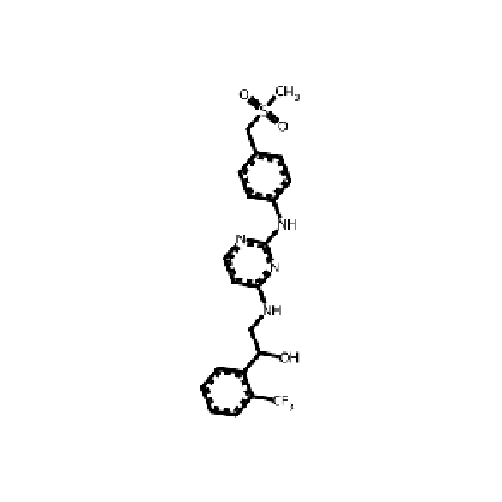 CS(=O)(=O)Cc1ccc(Nc2nccc(NCC(O)c3ccccc3C(F)(F)F)n2)cc1